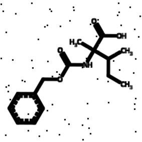 CCC(C)C(C)(NC(=O)OCc1ccccc1)C(=O)O